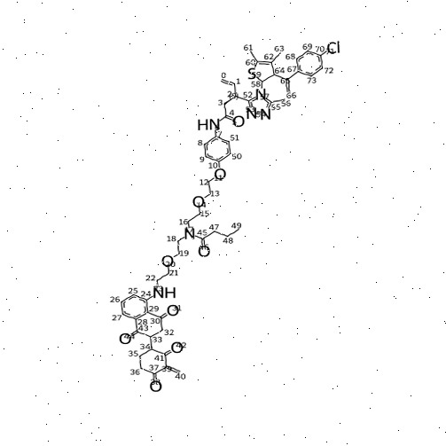 C=C[C@H](CC(=O)Nc1ccc(OCCOCCN(CCOCCNc2cccc3c2C(=O)CC(C2CCC(=O)C(=C)C2=O)C3=O)C(=O)CCC)cc1)c1nnc(C)n1C1SC(C)=C(C)C1C(=C)c1ccc(Cl)cc1